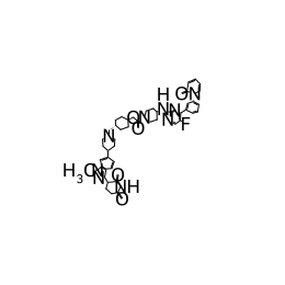 Cn1nc(C2CCC(=O)NC2=O)c2ccc(C3CCN(C[C@H]4CC[C@H](OC(=O)N5CCC(Nc6ncc(F)c(-c7cccc(-n8ccccc8=O)c7)n6)CC5)CC4)CC3)cc21